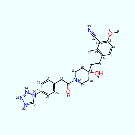 COc1ccc(CCC2(O)CCN(C(=O)Cc3ccc(-n4cnnn4)cc3)CC2)c(C)c1C#N